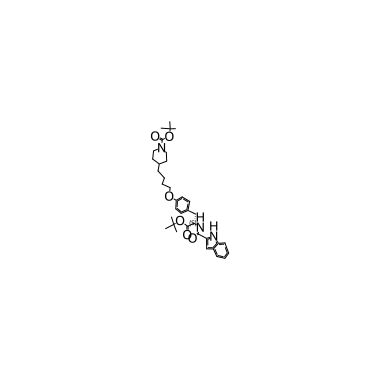 CC(C)(C)OC(=O)[C@H](Cc1ccc(OCCCCC2CCN(C(=O)OC(C)(C)C)CC2)cc1)NC(=O)c1cc2ccccc2[nH]1